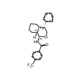 O=C(N[C@@H]1OC[C@@H](c2ccccc2)N2CCCC[C@@H]12)c1ccc(C(F)(F)F)cc1